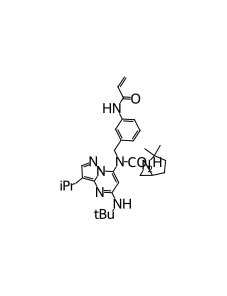 C=CC(=O)Nc1cccc(CN(C(=O)O)c2cc(NC(C)(C)C)nc3c(C(C)C)cnn23)c1.CC1(C)CCC2CN21